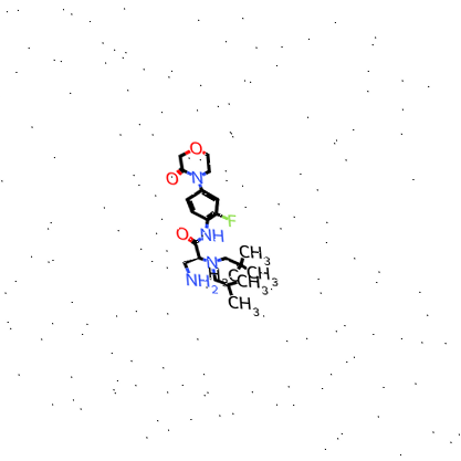 CC(C)CN(CC(C)(C)C)[C@@H](CN)C(=O)Nc1ccc(N2CCOCC2=O)cc1F